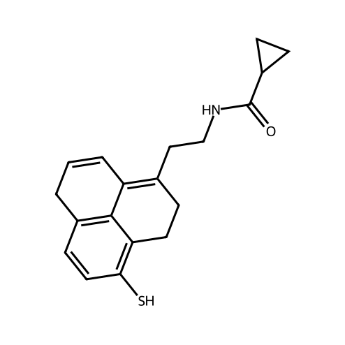 O=C(NCCC1=C2C=CCc3ccc(S)c(c32)CC1)C1CC1